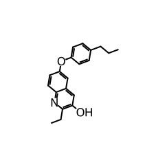 CCCc1ccc(Oc2ccc3nc(CC)c(O)cc3c2)cc1